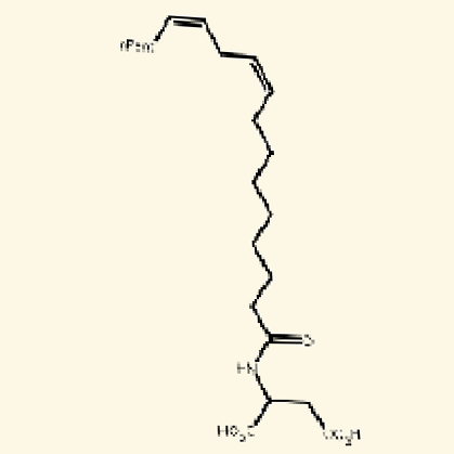 CCCCC/C=C\C/C=C\CCCCCCCC(=O)NC(CC(=O)O)C(=O)O